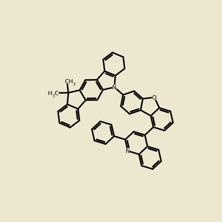 CC1(C)c2ccccc2-c2cc3c(cc21)c1c(n3-c2ccc3c(c2)oc2cccc(-c4cc(-c5ccccc5)nc5ccccc45)c23)CCC=C1